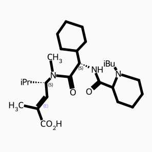 CCC(C)N1CCCCC1C(=O)N[C@H](C(=O)N(C)[C@H](/C=C(\C)C(=O)O)C(C)C)C1CCCCC1